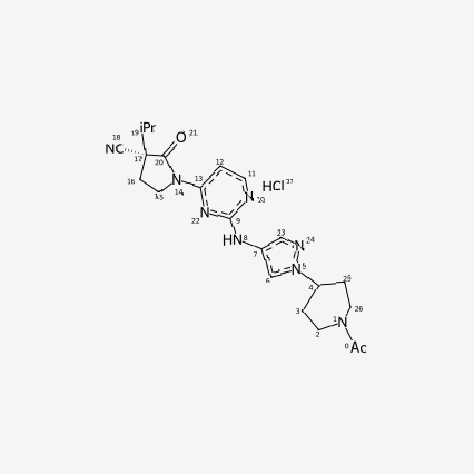 CC(=O)N1CCC(n2cc(Nc3nccc(N4CC[C@@](C#N)(C(C)C)C4=O)n3)cn2)CC1.Cl